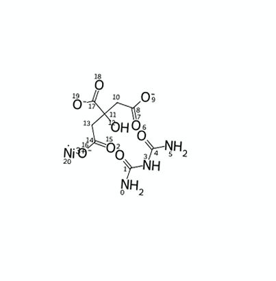 NC(=O)NC(N)=O.O=C([O-])CC(O)(CC(=O)[O-])C(=O)[O-].[Ni+3]